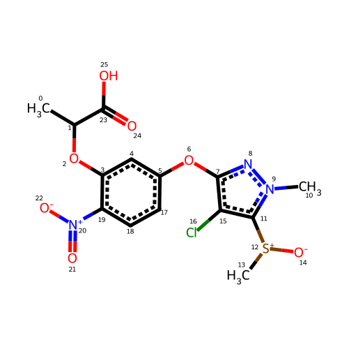 CC(Oc1cc(Oc2nn(C)c([S+](C)[O-])c2Cl)ccc1[N+](=O)[O-])C(=O)O